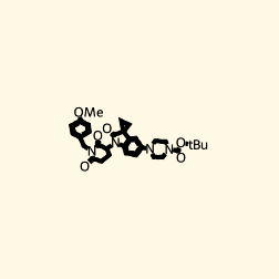 COc1ccc(CN2C(=O)CCC(N3C(=O)C4(CC4)c4cc(N5CCN(C(=O)OC(C)(C)C)CC5)ccc43)C2=O)cc1